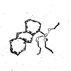 CCO[Si](OCC)(OCC)c1cccc2cc3ccccc3cc12